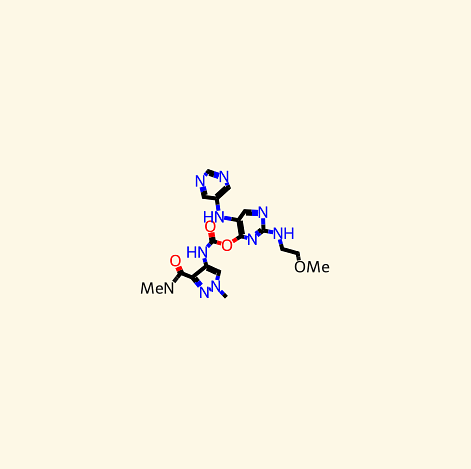 CNC(=O)c1nn(C)cc1NC(=O)Oc1nc(NCCOC)ncc1Nc1cncnc1